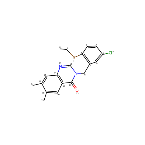 CCSc1ccc(Cl)cc1Cn1cnc2cc(C)c(C)cc2c1=O